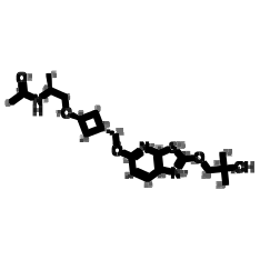 CC(=O)N[C@@H](C)CO[C@H]1C[C@H](COc2ccc3nc(OCC(C)(C)O)sc3n2)C1